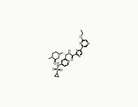 CCOc1cncc(-c2cnc(C(=O)N[C@@H](CN3CCN(C)C(=O)C3)c3cc(NS(=O)(=O)C4CC4)ccn3)s2)n1